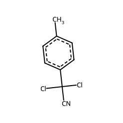 Cc1ccc(C(Cl)(Cl)C#N)cc1